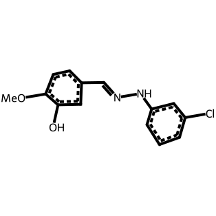 COc1ccc(/C=N/Nc2cccc(Cl)c2)cc1O